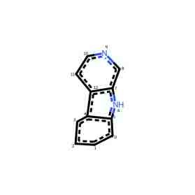 [c]1cccc2c1[nH]c1cnccc12